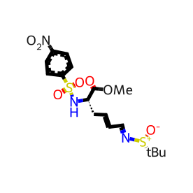 COC(=O)[C@H](C/C=C/C=N/[S+]([O-])C(C)(C)C)NS(=O)(=O)c1ccc([N+](=O)[O-])cc1